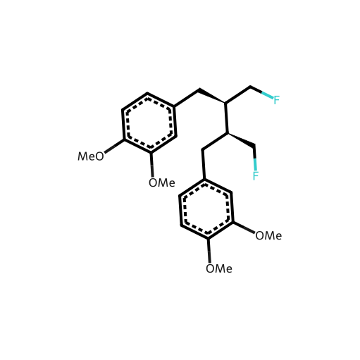 COc1ccc(C[C@@H](CF)[C@@H](CF)Cc2ccc(OC)c(OC)c2)cc1OC